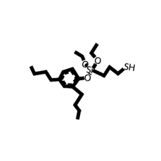 CCCCc1ccc(O[Si](CCCS)(OCC)OCC)c(CCCC)c1